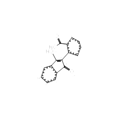 O=C(O)c1ccccc1C1=C(O)c2ccccc2C1=O